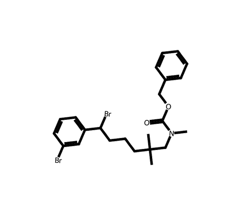 CN(CC(C)(C)CCCC(Br)c1cccc(Br)c1)C(=O)OCc1ccccc1